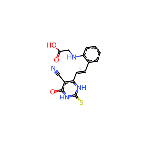 N#Cc1c(/C=C/c2ccccc2NCC(=O)O)[nH]c(=S)[nH]c1=O